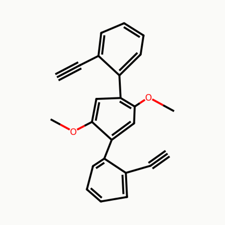 C#Cc1ccccc1-c1cc(OC)c(-c2ccccc2C#C)cc1OC